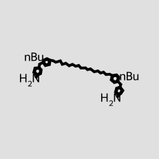 CCCCc1cc(CCCCCCCCCCCCCCCCCCCc2ccc(Cc3ccc(N)cc3)c(CCCC)c2)ccc1Cc1ccc(N)cc1